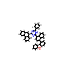 C1=CC2Oc3ccccc3C2C(c2ccc(-c3nc(-c4ccccc4)nc(-c4cc5ccccc5c5ccccc45)n3)c3ccccc23)=C1